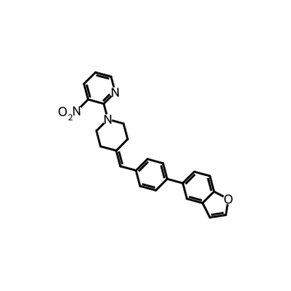 O=[N+]([O-])c1cccnc1N1CCC(=Cc2ccc(-c3ccc4occc4c3)cc2)CC1